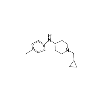 Cc1ccc(NC2CCN(CC3CC3)CC2)cc1